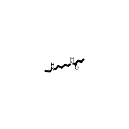 C/C=C/C(=O)NCCCCCNCC